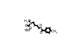 Cc1ccc(C(=O)NCCCCN(C)C(=O)OC(C)(C)C)cc1